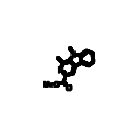 COC(=O)c1cc2c3ccccc3n(C)c2c(C)n1